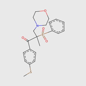 CSc1ccc(C(=O)C(C)(CN2CCOCC2)S(=O)(=O)c2ccccc2)cc1